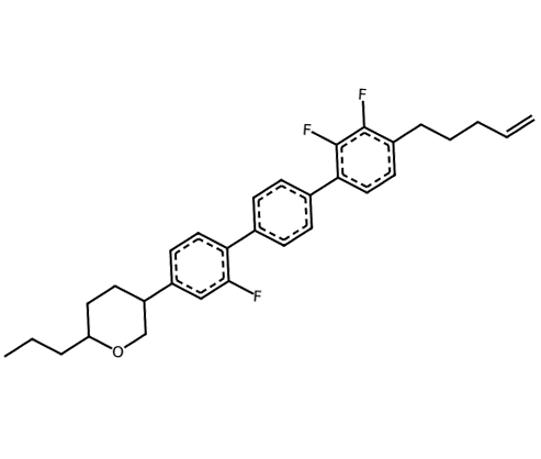 C=CCCCc1ccc(-c2ccc(-c3ccc(C4CCC(CCC)OC4)cc3F)cc2)c(F)c1F